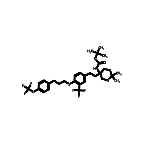 CC(C)(C)OC(=O)NC1(CCc2ccc(SCCCc3ccc(OC(F)(F)F)cc3)c(C(F)(F)F)c2)COC(C)(C)OC1